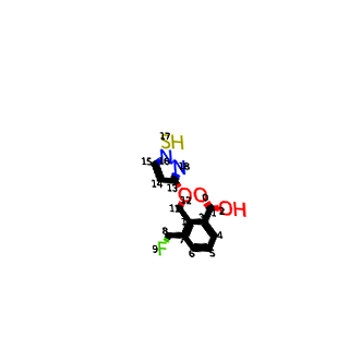 O=C(O)c1cccc(CF)c1COc1ccn(S)n1